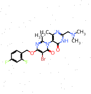 Cc1nc(CN(C)C)[nH]c(=O)c1-n1c(C)nc(OCc2ccc(F)cc2F)c(Br)c1=O